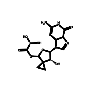 NC1=NC2C(N=CN2[C@@H]2O[C@H](OC(=O)P(O)O)C3(CC3)[C@H]2O)C(=O)N1